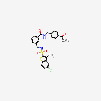 COC(=O)c1ccc(CNC(=O)c2cccc(CNS(=O)(=O)c3sc4ccc(Cl)cc4c3C)c2)cc1